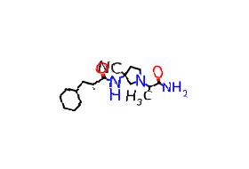 CC(C(N)=O)N1CCC(C#N)(NC(=O)[CH]CC2CCCCC2)C1